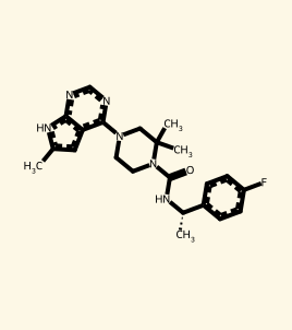 Cc1cc2c(N3CCN(C(=O)N[C@@H](C)c4ccc(F)cc4)C(C)(C)C3)ncnc2[nH]1